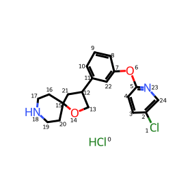 Cl.Clc1ccc(Oc2cccc(C3COC4(CCNCC4)C3)c2)nc1